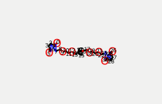 O=C1C=CC(=O)N1CCOCCOCC12CC(COCCOCCN3C(=O)C=CC3=O)(C1)C2